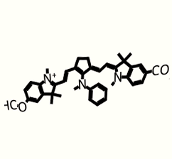 CN(C1=C(C=CC2=[N+](C)c3ccc(OC=O)cc3C2(C)C)CC/C1=C\C=C1N(C)c2ccc(C(=O)O)cc2C1(C)C)c1ccccc1